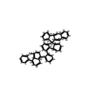 c1ccc2c(c1)Sc1ccc(-c3ccccc3-c3cccc4c3-c3ccccc3C43c4ccccc4-c4cc5ccccc5cc43)c3cccc-2c13